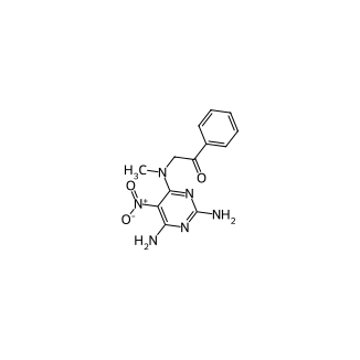 CN(CC(=O)c1ccccc1)c1nc(N)nc(N)c1[N+](=O)[O-]